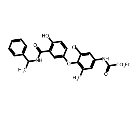 CCOC(=O)C(=O)Nc1cc(C)c(Oc2ccc(O)c(C(=O)NC(C)c3ccccc3)c2)c(Cl)c1